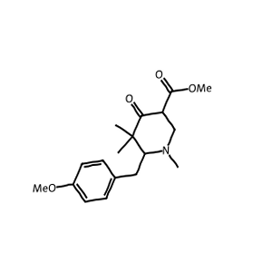 COC(=O)C1CN(C)C(Cc2ccc(OC)cc2)C(C)(C)C1=O